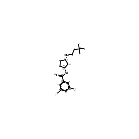 CC(C)(C)CCN[C@H]1CC[C@H](NC(=O)c2cc(F)cc(Cl)c2)C1